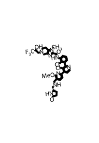 COc1nc(-c2ccnc(-c3cccc(NC(=O)c4nc5c(n4C)CCN(C[C@H](O)C(F)(F)F)C5)c3Cl)c2Cl)ccc1CNC[C@H]1CCC(=O)N1